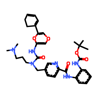 CN(C)CCCN(Cc1ccc(C(=O)Nc2ccccc2NC(=O)OC(C)(C)C)nc1)C(=O)NC1=COC=C(C2=CC=CCC2)O1